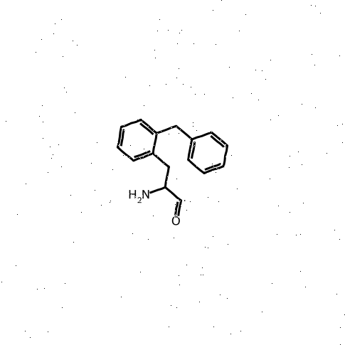 NC([C]=O)Cc1ccccc1Cc1ccccc1